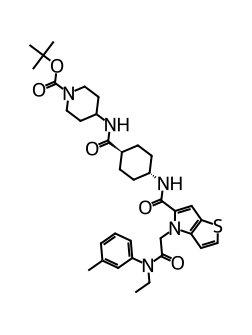 CCN(C(=O)Cn1c(C(=O)N[C@H]2CC[C@H](C(=O)NC3CCN(C(=O)OC(C)(C)C)CC3)CC2)cc2sccc21)c1cccc(C)c1